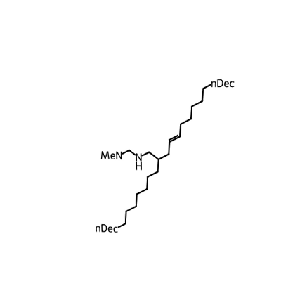 CCCCCCCCCCCCCCC/C=C/CC(CCCCCCCCCCCCCCCCC)CNCNC